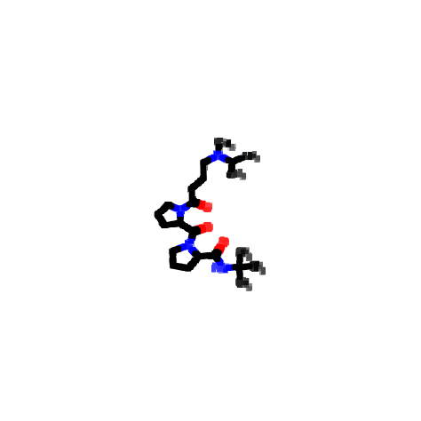 CC(C)N(C)CCCC(=O)N1CCCC1C(=O)N1CCCC1C(=O)NC(C)(C)C